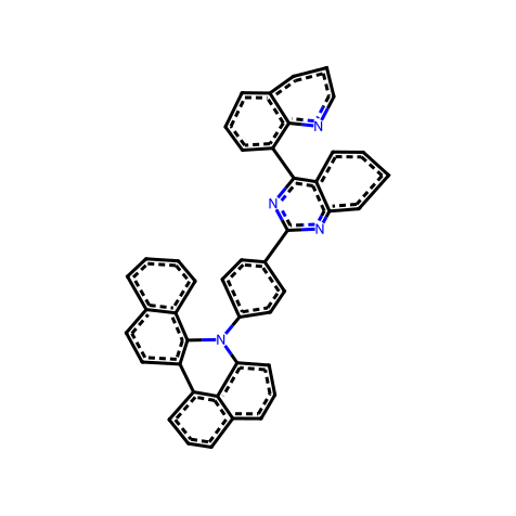 c1ccc2c3c(ccc2c1)-c1cccc2cccc(c12)N3c1ccc(-c2nc(-c3cccc4cccnc34)c3ccccc3n2)cc1